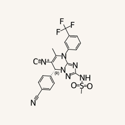 [C-]#[N+]C1=C(C)N(c2cccc(C(F)(F)F)c2)c2nc(NS(C)(=O)=O)nn2[C@@H]1c1ccc(C#N)cc1